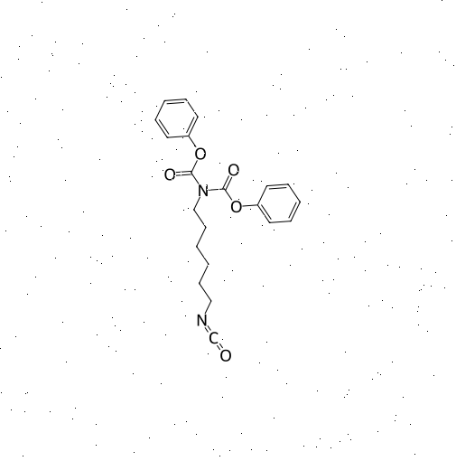 O=C=NCCCCCCN(C(=O)Oc1ccccc1)C(=O)Oc1ccccc1